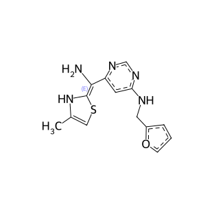 CC1=CS/C(=C(/N)c2cc(NCc3ccco3)ncn2)N1